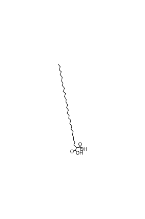 CCCCCCCCCCCCCCCCCCCCCCCCCCCCCCCC(C(=O)O)C(=O)O